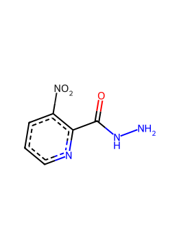 NNC(=O)c1ncccc1[N+](=O)[O-]